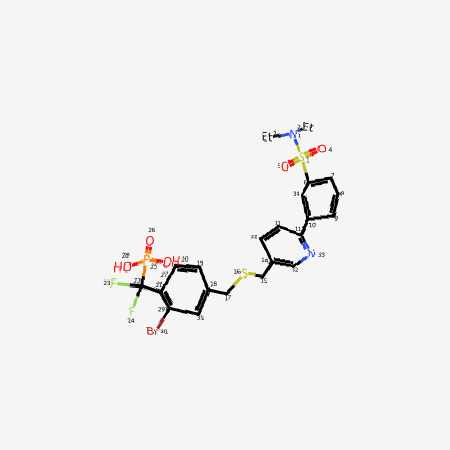 CCN(CC)S(=O)(=O)c1cccc(-c2ccc(CSCc3ccc(C(F)(F)P(=O)(O)O)c(Br)c3)cn2)c1